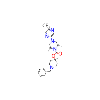 C[C@@H]1CN(c2cnc(C(F)(F)F)cn2)C[C@H](C)N1C(=O)OC1(C)CCN(Cc2ccccc2)CC1